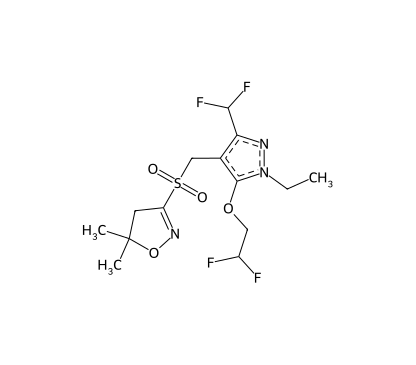 CCn1nc(C(F)F)c(CS(=O)(=O)C2=NOC(C)(C)C2)c1OCC(F)F